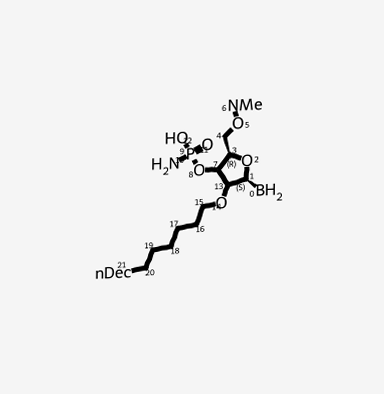 B[C@@H]1O[C@H](CONC)C(OP(N)(=O)O)C1OCCCCCCCCCCCCCCCC